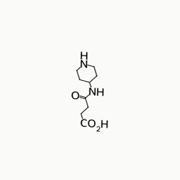 O=C(O)CCC(=O)NC1CCNCC1